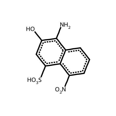 Nc1c(O)cc(S(=O)(=O)O)c2c([N+](=O)[O-])cccc12